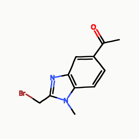 CC(=O)c1ccc2c(c1)nc(CBr)n2C